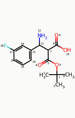 CC(C)(C)OC(=O)C(C(=O)O)C(N)c1cccc(F)c1